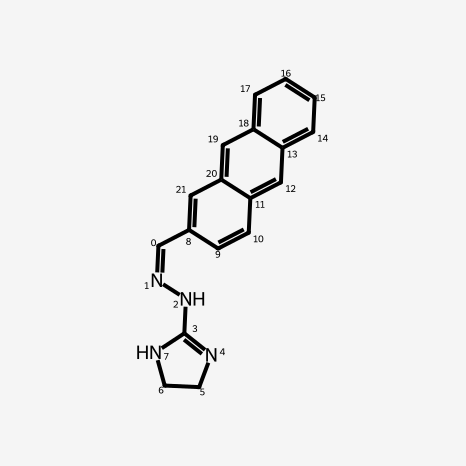 C(=N/NC1=NCCN1)/c1ccc2cc3ccccc3cc2c1